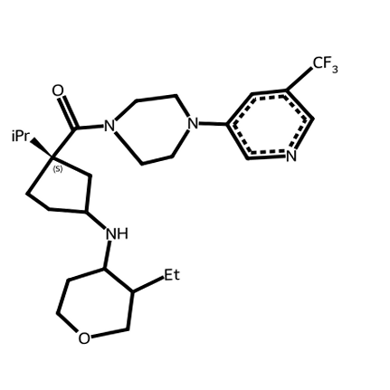 CCC1COCCC1NC1CC[C@@](C(=O)N2CCN(c3cncc(C(F)(F)F)c3)CC2)(C(C)C)C1